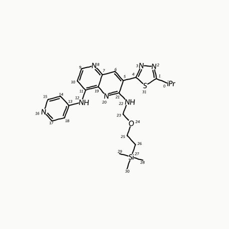 CC(C)c1nnc(-c2cc3nccc(Nc4ccncc4)c3nc2NCOCC[Si](C)(C)C)s1